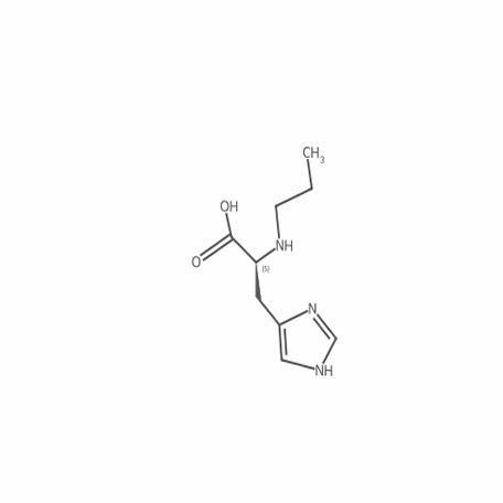 CCCN[C@@H](Cc1c[nH]cn1)C(=O)O